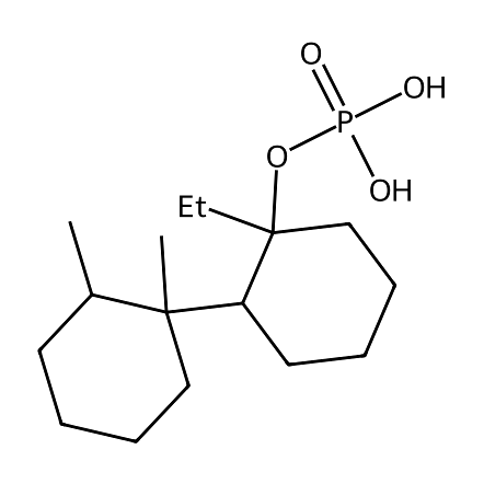 CCC1(OP(=O)(O)O)CCCCC1C1(C)CCCCC1C